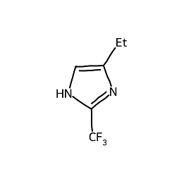 CCc1c[nH]c(C(F)(F)F)n1